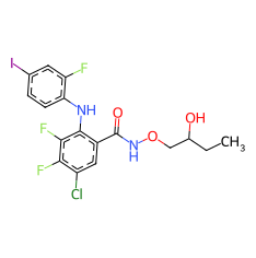 CCC(O)CONC(=O)c1cc(Cl)c(F)c(F)c1Nc1ccc(I)cc1F